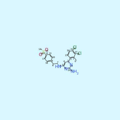 Cc1c(-c2cc(NCCc3ccc(S(C)(=O)=O)cc3)nc(N)n2)ccc(Cl)c1Cl